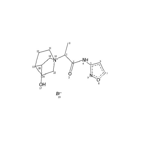 CC(C(=O)Nc1ccon1)[N+]12CCC(CC1)C(O)C2.[Br-]